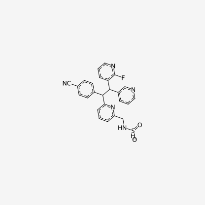 N#Cc1ccc(C(c2cccc(CN[SH](=O)=O)n2)C(c2cccnc2)c2cccnc2F)cc1